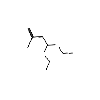 C=C(C)CC(OCC)OCC